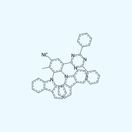 Cc1c(C#N)cc(-c2nc(-c3ccccc3)nc(-c3ccccc3)n2)c(-n2c3ccccc3c3ccccc32)c1-n1c2ccccc2c2ccccc21